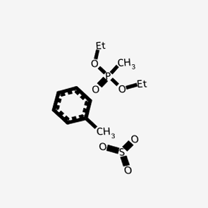 CCOP(C)(=O)OCC.Cc1ccccc1.O=S(=O)=O